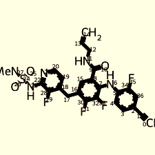 C#Cc1ccc(Nc2c(C(=O)NCC=C)cc(Cc3ccnc(NS(=O)(=O)NC)c3F)c(F)c2F)c(F)c1